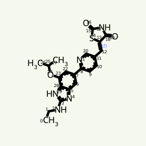 CCNc1nc2cc(-c3ccc(/C=C4\SC(=O)NC4=O)cn3)cc(OC(C)C)c2[nH]1